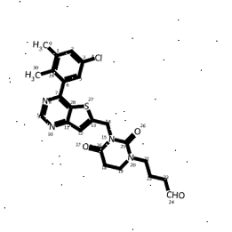 Cc1cc(Cl)cc(-c2ncnc3cc(CN4C(=O)CCN(CCCC=O)C4=O)sc23)c1C